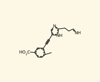 Cc1ccc(C(=O)O)cc1C#Cc1cnc(CCC=N)[nH]1